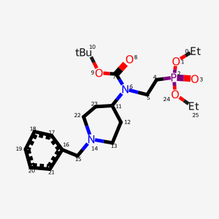 CCOP(=O)(CCN(C(=O)OC(C)(C)C)C1CCN(Cc2ccccc2)CC1)OCC